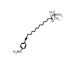 CC(C)(C)OC(=O)CCCCCCCCCCCC#Cc1ccc(SN)cc1